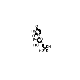 O=c1ccn([C@@H]2O[C@H](/C=C/P(=O)(O)O)[C@@H](O)[C@H]2F)c(=O)[nH]1